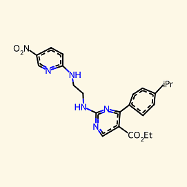 CCOC(=O)c1cnc(NCCNc2ccc([N+](=O)[O-])cn2)nc1-c1ccc(C(C)C)cc1